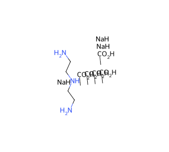 CC(=O)O.CC(=O)O.CC(=O)O.CC(=O)O.CC(=O)O.NCCNCCN.[NaH].[NaH].[NaH]